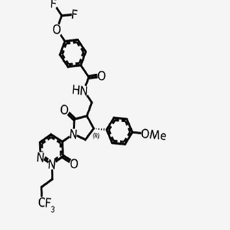 COc1ccc([C@@H]2CN(c3ccnn(CCC(F)(F)F)c3=O)C(=O)C2CNC(=O)c2ccc(OC(F)F)cc2)cc1